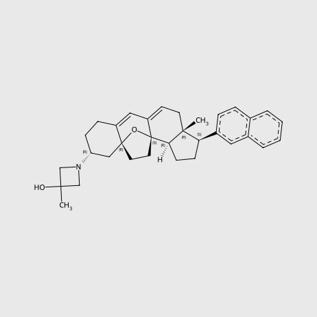 CC1(O)CN([C@@H]2CCC3=CC4=CC[C@]5(C)[C@@H](c6ccc7ccccc7c6)CC[C@H]5[C@@]45CC[C@]3(C2)O5)C1